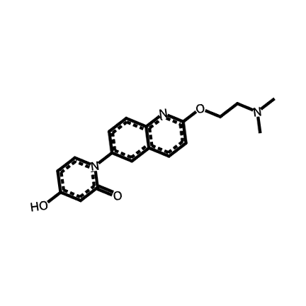 CN(C)CCOc1ccc2cc(-n3ccc(O)cc3=O)ccc2n1